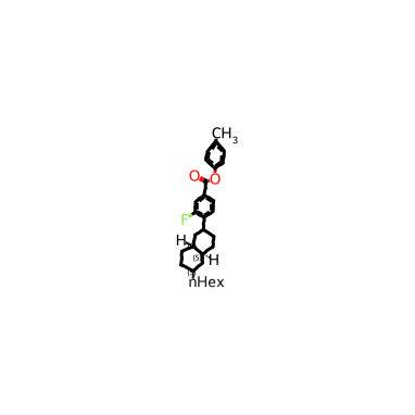 CCCCCC[C@H]1CC[C@@H]2CC(c3ccc(C(=O)Oc4ccc(C)cc4)cc3F)CC[C@H]2C1